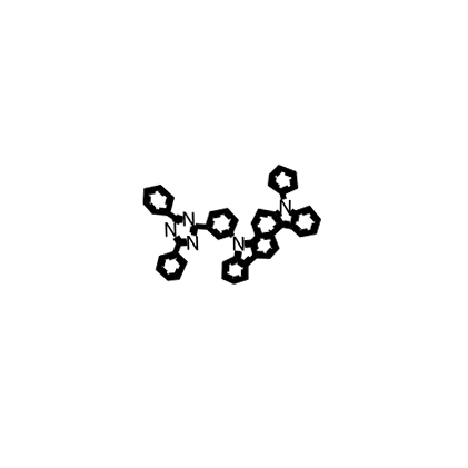 c1ccc(-c2nc(-c3ccccc3)nc(-c3cccc(-n4c5ccccc5c5ccc6c(ccc7c6c6ccccc6n7-c6ccccc6)c54)c3)n2)cc1